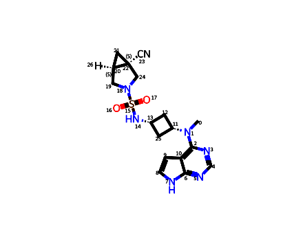 CN(c1ncnc2[nH]ccc12)[C@H]1C[C@@H](NS(=O)(=O)N2C[C@H]3C[C@@]3(C#N)C2)C1